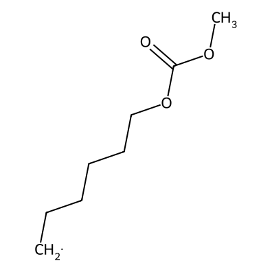 [CH2]CCCCCOC(=O)OC